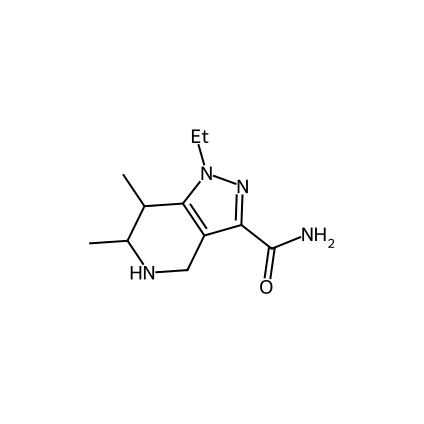 CCn1nc(C(N)=O)c2c1C(C)C(C)NC2